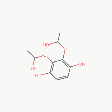 CC(O)Oc1c(O)ccc(O)c1OC(C)O